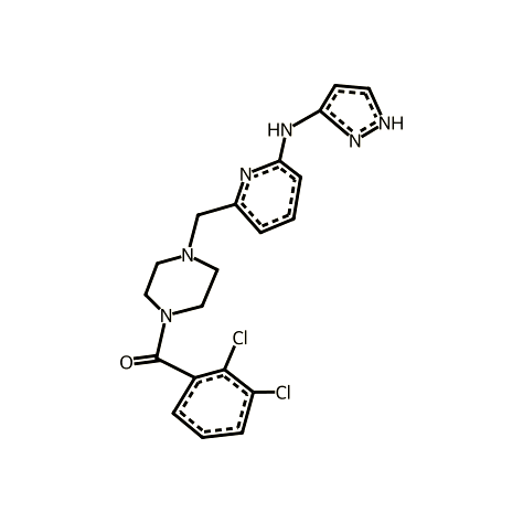 O=C(c1cccc(Cl)c1Cl)N1CCN(Cc2cccc(Nc3cc[nH]n3)n2)CC1